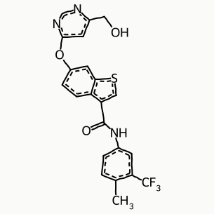 Cc1ccc(NC(=O)c2csc3cc(Oc4cc(CO)ncn4)ccc23)cc1C(F)(F)F